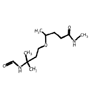 CNC(=O)CCC(C)OCCC(C)(C)NC=O